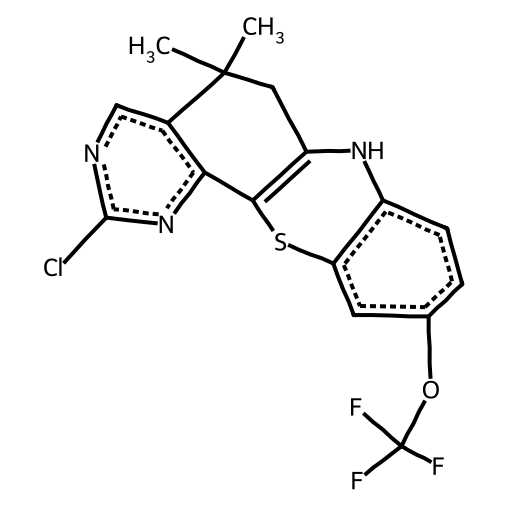 CC1(C)CC2=C(Sc3cc(OC(F)(F)F)ccc3N2)c2nc(Cl)ncc21